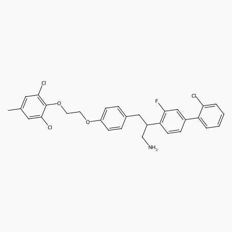 Cc1cc(Cl)c(OCCOc2ccc(CC(CN)c3ccc(-c4ccccc4Cl)cc3F)cc2)c(Cl)c1